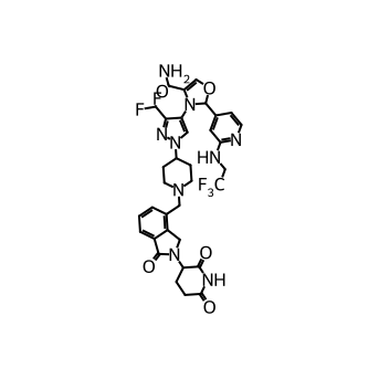 NC(=O)C1=COC(c2ccnc(NCC(F)(F)F)c2)N1c1cn(C2CCN(Cc3cccc4c3CN(C3CCC(=O)NC3=O)C4=O)CC2)nc1C(F)F